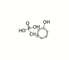 CP(=O)(O)O.Oc1ccccc1